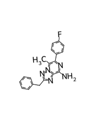 Cc1c(-c2ccc(F)cc2)nc(N)c2nc(Cc3ccccc3)nn12